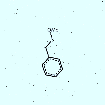 COS[CH]c1ccccc1